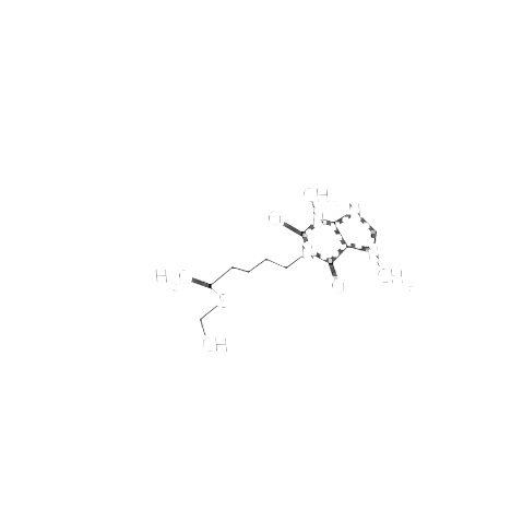 C=C(CCCCn1c(=O)c2c(ncn2C)n(C)c1=O)SCC